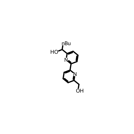 CCCCC(O)c1cccc(-c2cccc(CO)n2)n1